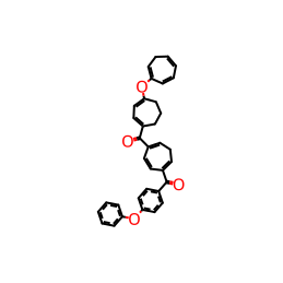 O=C(C1=CCC=C(C(=O)c2ccc(Oc3ccccc3)cc2)C=C1)C1=CC=C(OC2=CCC=CC=C2)CCC1